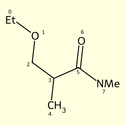 CCOCC(C)C(=O)NC